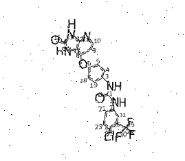 O=C(Nc1ccc(Oc2ccnc3[nH]c(=O)[nH]c23)cc1)Nc1ccc(Cl)c(C(F)(F)F)c1